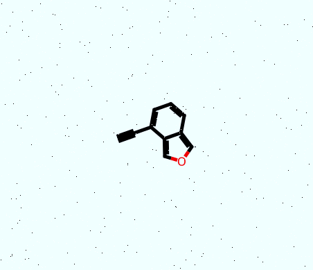 C#Cc1cccc2[c]occ12